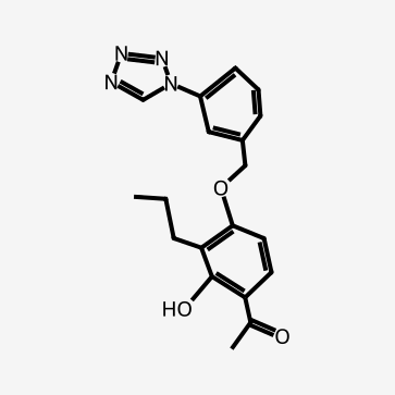 CCCc1c(OCc2cccc(-n3cnnn3)c2)ccc(C(C)=O)c1O